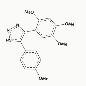 COc1ccc(-c2[nH]nnc2-c2cc(OC)c(OC)cc2OC)cc1